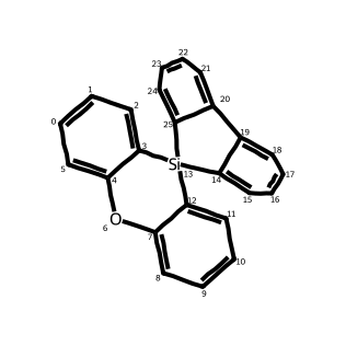 c1ccc2c(c1)Oc1ccccc1[Si]21c2ccccc2-c2ccccc21